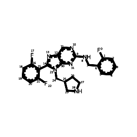 Fc1ccccc1CNc1ncc2nc(-c3c(F)cccc3F)n(C[C@H]3CCNC3)c2n1